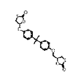 CC(C)(c1ccc(OCC2CSC(=O)O2)cc1)c1ccc(OC2CSC(=O)O2)cc1